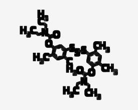 CCN(CC)C(=O)Oc1cc(SSSc2cc(OC(=O)N(CC)CC)c(C)cc2C)c(C)cc1C